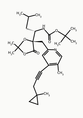 Cc1cnc(C[C@]2([C@H](CC(C)C)NC(=O)OC(C)(C)C)OC(C)(C)OC2=O)cc1C#CCC1(C)CC1